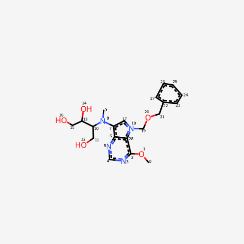 COc1ncnc2c(N(C)C(CO)C(O)CO)cn(COCc3ccccc3)c12